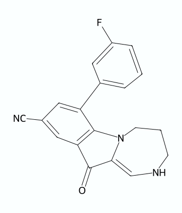 N#Cc1cc2c(c(-c3cccc(F)c3)c1)N1CCCNC=C1C2=O